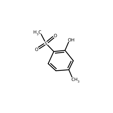 Cc1ccc(S(C)(=O)=O)c(O)c1